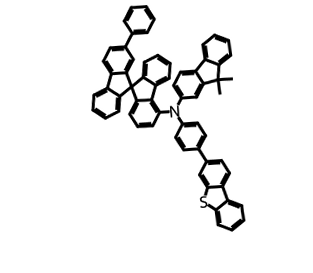 CC1(C)c2ccccc2-c2ccc(N(c3ccc(-c4ccc5c(c4)sc4ccccc45)cc3)c3cccc4c3-c3ccccc3C43c4ccccc4-c4ccc(-c5ccccc5)cc43)cc21